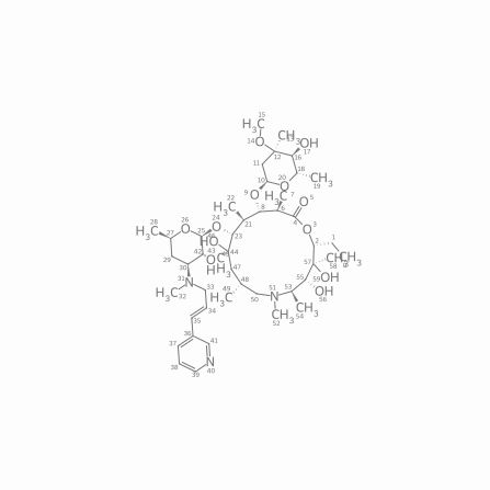 CC[C@H]1OC(=O)[C@H](C)[C@@H](O[C@H]2C[C@@](C)(OC)[C@@H](O)[C@H](C)O2)[C@H](C)[C@@H](O[C@@H]2O[C@H](C)C[C@H](N(C)C/C=C/c3cccnc3)[C@H]2O)[C@](C)(O)C[C@@H](C)CN(C)[C@H](C)[C@@H](O)[C@]1(C)O